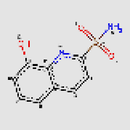 NS(=O)(=O)c1ccc2cccc(O)c2n1